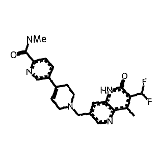 CNC(=O)c1ccc(C2=CCN(Cc3cnc4c(C)c(C(F)F)c(=O)[nH]c4c3)CC2)cn1